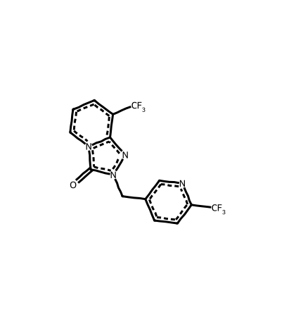 O=c1n(Cc2ccc(C(F)(F)F)nc2)nc2c(C(F)(F)F)cccn12